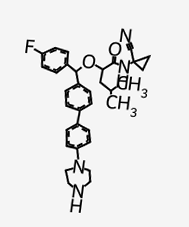 CC(C)CC(OC(c1ccc(F)cc1)c1ccc(-c2ccc(N3CCNCC3)cc2)cc1)C(=O)NC1(C#N)CC1